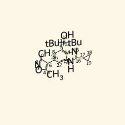 Cc1noc(C)c1-c1cc(C(O)(C(C)(C)C)C(C)(C)C)c2nc(C3CC3)[nH]c2c1